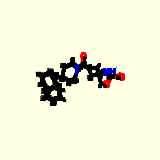 O=C1NC2(CO1)CC(C(=O)N1CCC(c3cccc4ccccc34)CC1)C2